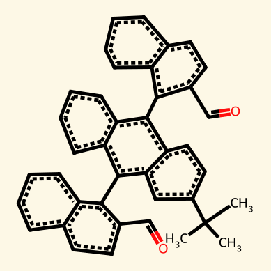 CC(C)(C)c1ccc2c(-c3c(C=O)ccc4ccccc34)c3ccccc3c(-c3c(C=O)ccc4ccccc34)c2c1